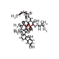 CC#C/C=C\C#C[C@H](OC1OC(C)C(SC)(C(=O)c2nccc3c2[nH]c2ccc(O)cc23)C(O)C1OC(=O)CCCNC(C)C)C1=C(NC(=O)OC)C(=O)C[C@H](O)/C1=C/CS(C)=S